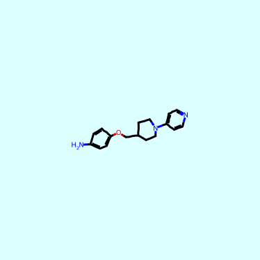 Nc1ccc(OCC2CCN(c3ccncc3)CC2)cc1